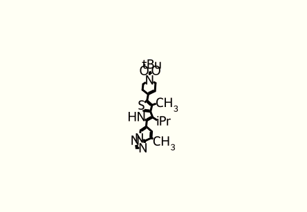 Cc1c(C2=CCN(C(=O)OC(C)(C)C)CC2)sc2[nH]c(-c3cc(C)c4ncnn4c3)c(C(C)C)c12